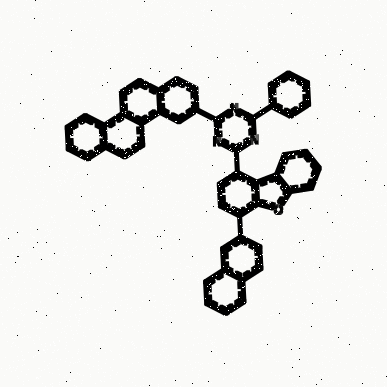 c1ccc(-c2nc(-c3ccc4ccc5c6ccccc6ccc5c4c3)nc(-c3ccc(-c4ccc5ccccc5c4)c4oc5ccccc5c34)n2)cc1